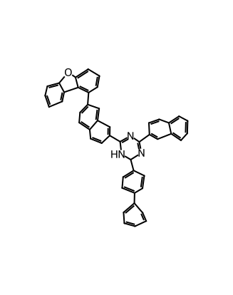 c1ccc(-c2ccc(C3N=C(c4ccc5ccccc5c4)N=C(c4ccc5ccc(-c6cccc7oc8ccccc8c67)cc5c4)N3)cc2)cc1